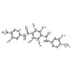 Cc1ccc(NC(=O)c2c(F)c(F)c(C(=O)Nc3ccc(N)c(F)c3)c(F)c2F)cc1F